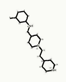 CC1CCCC(NCC2CCN(CCC3CCNCC3)CC2)C1